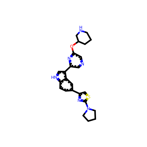 c1cc2[nH]cc(-c3cncc(OC4CCCNC4)n3)c2cc1-c1csc(N2CCCC2)n1